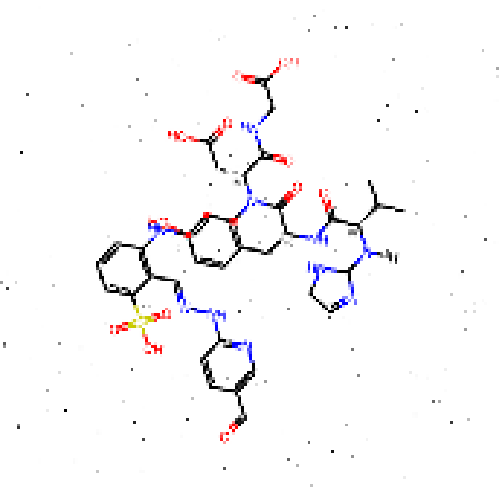 [2H]N(C1N=CCN1)[C@@H](C(=O)N[C@@H](Cc1ccc(O)cc1)C(=O)N(CCCNc1cccc(S(=O)(=O)O)c1C=NNc1ccc(C=O)cn1)[C@H](CC(=O)O)C(=O)NCC(=O)O)C(C)C